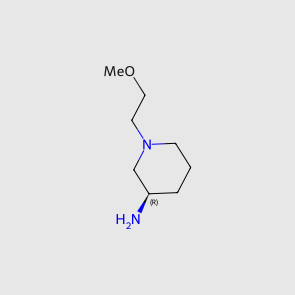 COCCN1CCC[C@@H](N)C1